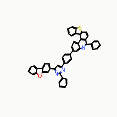 c1ccc(-c2nc(-c3ccc(-c4ccc5c(c4)nc(-c4ccccc4)c4ccc6sc7ccccc7c6c45)cc3)cc(-c3ccc4c(c3)oc3ccccc34)n2)cc1